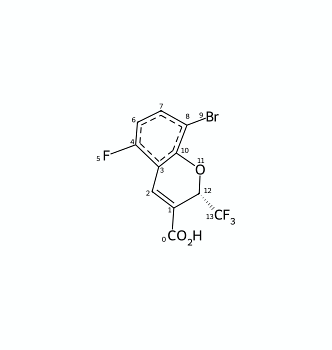 O=C(O)C1=Cc2c(F)ccc(Br)c2O[C@@H]1C(F)(F)F